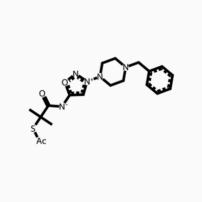 CC(=O)SC(C)(C)C(=O)[N-]c1c[n+](N2CCN(Cc3ccccc3)CC2)no1